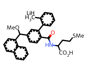 COC(c1ccc(C(=O)NC(CCSC)C(=O)O)c(-c2ccccc2C)c1)c1cccc2ccccc12.[LiH]